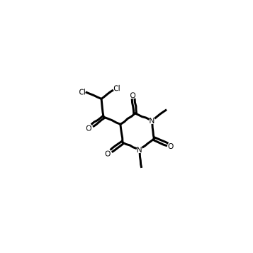 CN1C(=O)C(C(=O)C(Cl)Cl)C(=O)N(C)C1=O